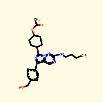 CCCCNc1ncc2c(-c3ccc(CO)cc3)nc(C3CCC(OC(C)=O)CC3)n2n1